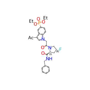 CCOP(=O)(OCC)c1ccc2c(c1)c(C(C)=O)cn2CC(=O)N1C[C@H](F)C[C@H]1C(=O)NCc1ccccc1